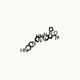 CN(C)C(=O)c1cc2cnc(Nc3ccc(N4CCC5(CCNCC5)CC4)cn3)nc2n1C1CCCC1